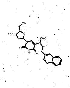 O=CN(CCc1ccc2ccccc2c1)c1cn([C@H]2C[C@H](O)[C@@H](CO)O2)c(=O)[nH]c1=O